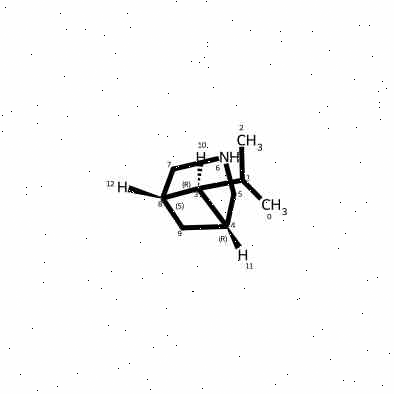 CC(C)[C@H]1[C@@H]2CNC[C@H]1C2